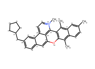 Cc1ccc2c(C)c3c(c(C)c2c1)-c1c2c(cc4ccc(CC5CCCC5)cc4c2cc[n+]1C)O3